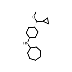 COC(C1CC1)[C@H]1CC[C@H](NC2CCCCCC2)CC1